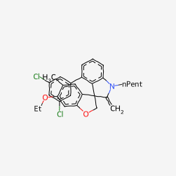 C=C1N(CCCCC)c2cccc(-c3cc(Cl)cc(Cl)c3)c2C12COc1cc(OCC)c(C)cc12